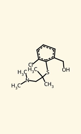 CN(C)CC(C)(C)Sc1c(Cl)cccc1CO